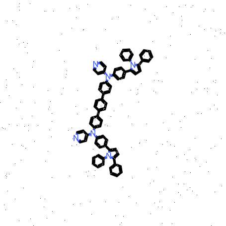 c1ccc(-c2ccc(-c3ccc(N(c4ccncc4)c4ccc(-c5ccc(-c6ccc(N(c7ccncc7)c7ccc(-c8ccc(-c9ccccc9)n8-c8ccccc8)cc7)cc6)cc5)cc4)cc3)n2-c2ccccc2)cc1